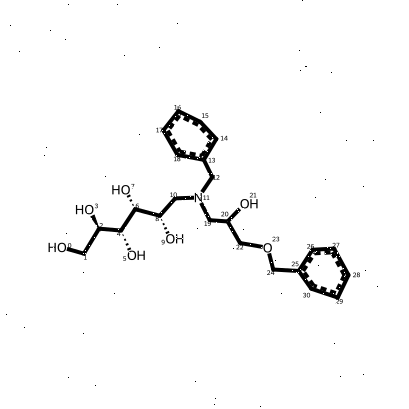 OC[C@@H](O)[C@@H](O)[C@H](O)[C@@H](O)CN(Cc1ccccc1)CC(O)COCc1ccccc1